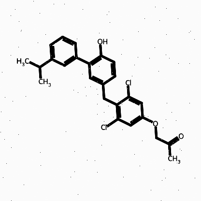 CC(=O)COc1cc(Cl)c(Cc2ccc(O)c(-c3cccc(C(C)C)c3)c2)c(Cl)c1